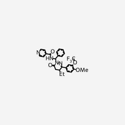 CCC1CC(=O)N(C(NC(=O)c2ccncc2)c2ccccc2)N=C1c1ccc(OC)c(OC(F)(F)F)c1